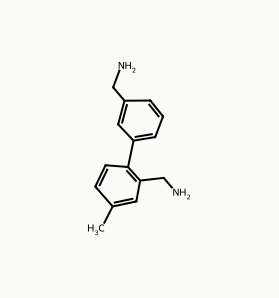 Cc1ccc(-c2cccc(CN)c2)c(CN)c1